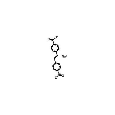 O=C([O-])c1ccc(/C=C/c2ccc([N+](=O)[O-])cc2)cc1.[Na+]